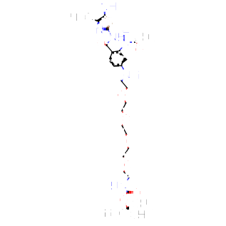 CC(=O)Nc1cc(NCCOCCOCCOCCOCCNC(=O)OC(C)(C)C)ccc1C(=O)Nc1nc(C)c(N)s1